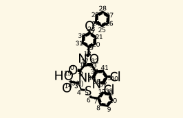 O=C(N[C@@H](CSCc1ccccc1)C(=O)O)c1nc(-c2ccc(Oc3ccccc3)cc2)oc1-c1cnc(Cl)c(Cl)c1